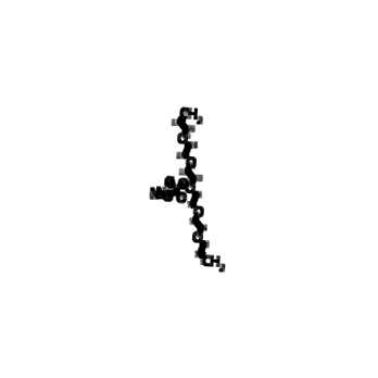 C=CCOCCOCCOCCOCCOCC=C.O=S(=O)([O-])[O-].[Na+].[Na+]